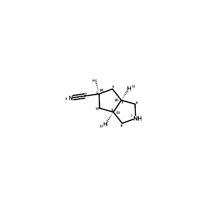 C[C@]1(C#N)C[C@H]2CNC[C@H]2C1